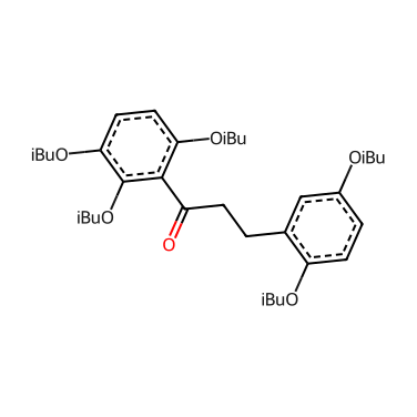 CC(C)COc1ccc(OCC(C)C)c(CCC(=O)c2c(OCC(C)C)ccc(OCC(C)C)c2OCC(C)C)c1